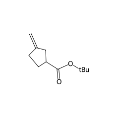 C=C1CCC(C(=O)OC(C)(C)C)C1